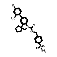 NS(=O)(=O)c1ccc(CNC(=O)N2CC3(CCCC3)c3cc(-c4ccc(F)cc4C(F)(F)F)ccc32)cc1